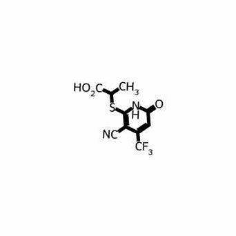 CC(Sc1[nH]c(=O)cc(C(F)(F)F)c1C#N)C(=O)O